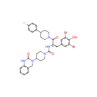 O=C(N[C@H](Cc1cc(Br)c(O)c(Br)c1)C(=O)N1CCC(c2ccc(F)cc2)CC1)N1CCC(N2Cc3ccccc3NC2=O)CC1